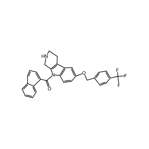 O=C(c1cccc2ccccc12)n1c2c(c3cc(OCc4ccc(C(F)(F)F)cc4)ccc31)CCNC2